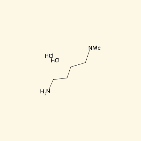 CNCCCCN.Cl.Cl